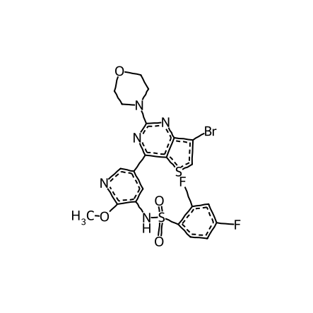 COc1ncc(-c2nc(N3CCOCC3)nc3c(Br)csc23)cc1NS(=O)(=O)c1ccc(F)cc1F